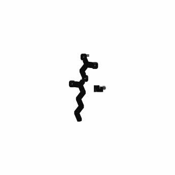 CCCCCC(=O)OCC(=O)[O-].[Na+]